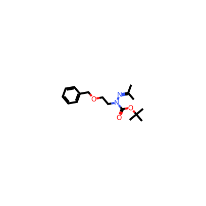 CC(C)=NN(CCOCc1ccccc1)C(=O)OC(C)(C)C